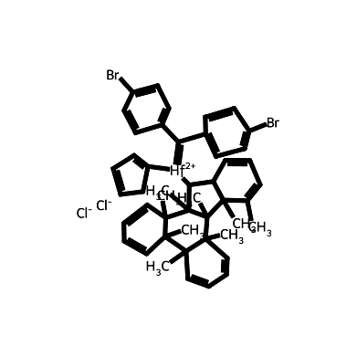 CC1=CC=CC2[CH]([Hf+2]([C]3=CC=CC3)=[C](c3ccc(Br)cc3)c3ccc(Br)cc3)C3(C)C4(C)C=CC=CC4(C)C4(C)C=CC=CC4(C)C3(C)C12C.[Cl-].[Cl-]